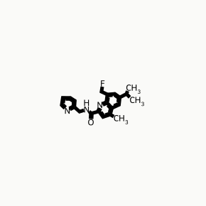 Cc1cc(C(=O)NCc2ccccn2)nc2c(CF)cc(C(C)C)cc12